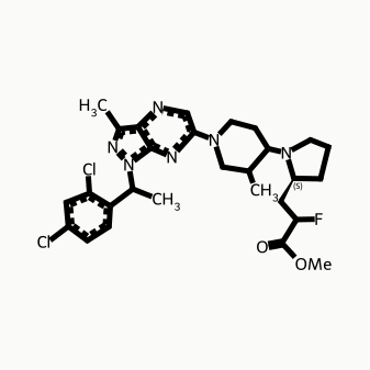 COC(=O)C(F)C[C@@H]1CCCN1C1CCN(c2cnc3c(C)nn(C(C)c4ccc(Cl)cc4Cl)c3n2)CC1C